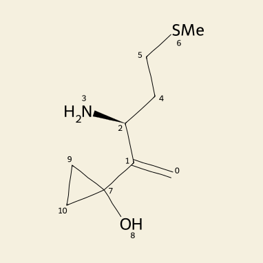 C=C([C@@H](N)CCSC)C1(O)CC1